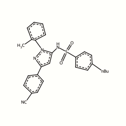 CCCCc1ccc(S(=O)(=O)Nc2cc(-c3ccc(C#N)cc3)nn2-c2ccccc2C)cc1